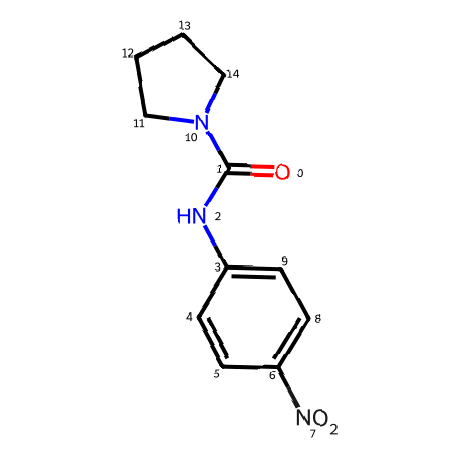 O=C(Nc1ccc([N+](=O)[O-])cc1)N1CCCC1